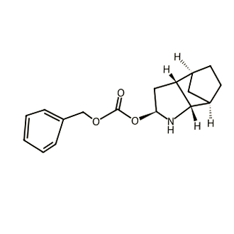 O=C(OCc1ccccc1)O[C@H]1C[C@@H]2[C@H]3CC[C@H](C3)[C@@H]2N1